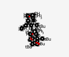 CC(C)(C)c1ccc(N2c3cc(C(C)(C)CC4CC(C)(C)c5cc6oc7c(c6cc5C4(C)C)B4c5cc(-c6ccccc6)ccc5N(c5c(-c6ccccc6)cc(C(C)(C)C)cc5-c5ccccc5)c5cc(C(C)(C)C)cc(c54)N7c4ccc(C(C)(C)C)cc4)cc4c3B(c3cc(-c5ccccc5)ccc3N4c3ccc(-c4ccccc4)cc3)c3c2oc2cc4c(cc32)C(C)(C)CCC4(C)C)cc1